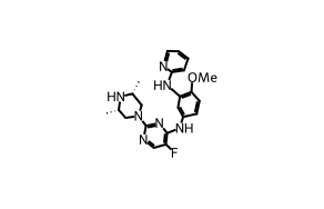 COc1ccc(Nc2nc(N3C[C@@H](C)N[C@@H](C)C3)ncc2F)cc1Nc1ccccn1